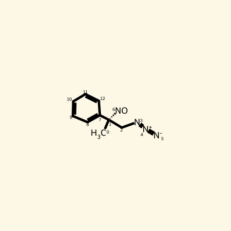 C[C@@](CN=[N+]=[N-])(N=O)c1ccccc1